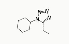 CCc1nnnn1C1CCCCC1